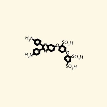 Nc1ccc(-c2nc3ccc(Oc4ccc(Oc5ccc(S(=O)(=O)O)cc5S(=O)(=O)O)cc4S(=O)(=O)O)cc3nc2-c2ccc(N)cc2)cc1